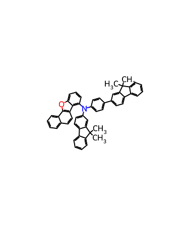 CC1(C)c2ccccc2-c2ccc(-c3ccc(N(c4ccc5c(c4)C(C)(C)c4ccccc4-5)c4cccc5oc6c7ccccc7ccc6c45)cc3)cc21